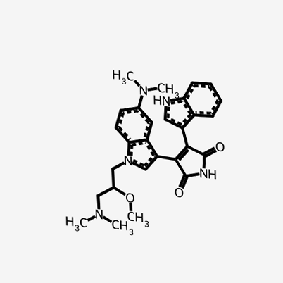 COC(CN(C)C)Cn1cc(C2=C(c3c[nH]c4ccccc34)C(=O)NC2=O)c2cc(N(C)C)ccc21